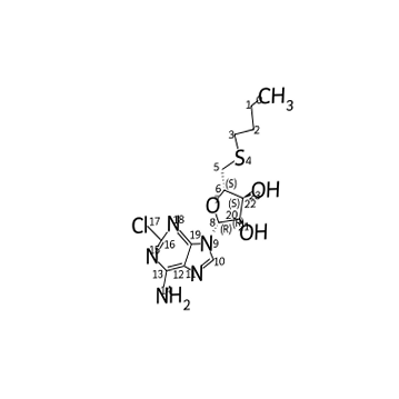 CCCCSC[C@H]1O[C@@H](n2cnc3c(N)nc(Cl)nc32)[C@H](O)[C@@H]1O